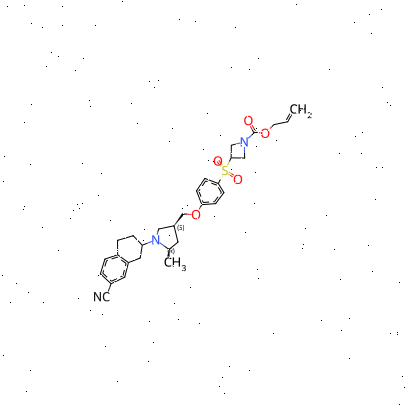 C=CCOC(=O)N1CC(S(=O)(=O)c2ccc(OC[C@H]3C[C@@H](C)N(C4CCc5ccc(C#N)cc5C4)C3)cc2)C1